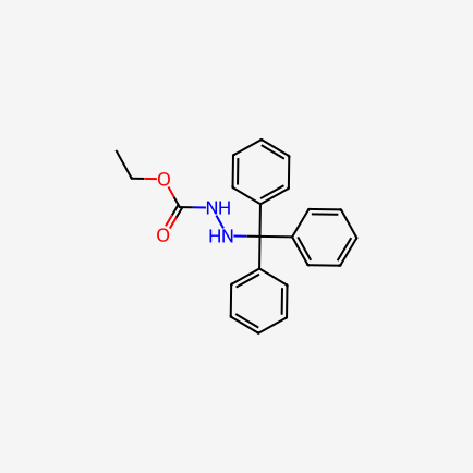 CCOC(=O)NNC(c1ccccc1)(c1ccccc1)c1ccccc1